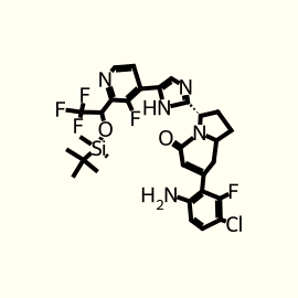 CC(C)(C)[Si](C)(C)OC(c1nccc(-c2cnc([C@@H]3CCC4CC(c5c(N)ccc(Cl)c5F)=CC(=O)N43)[nH]2)c1F)C(F)(F)F